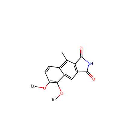 CCOc1ccc2c(C)c3c(cc2c1OCC)C(=O)NC3=O